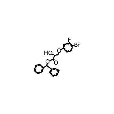 O=C(OC(c1ccccc1)c1ccccc1)C(O)COc1ccc(Br)c(F)c1